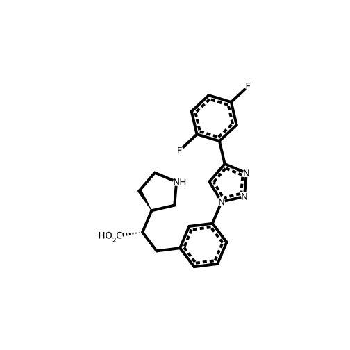 O=C(O)[C@@H](Cc1cccc(-n2cc(-c3cc(F)ccc3F)nn2)c1)[C@H]1CCNC1